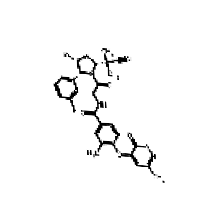 Cc1cc(Oc2ccc(C(=O)NCC(=O)N3[C@H](c4cccc(F)c4)[C@H](O)C[C@@H]3C(C)(C)C#N)cc2C)c(=O)[nH]n1